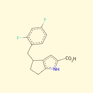 O=C(O)c1cc2c([nH]1)CCC2Cc1ccc(F)cc1F